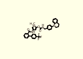 Cn1cc(NC(=O)c2ccccc2-c2ccc(C(F)(F)F)cc2)cc1OC(=O)NCc1ccc(N2CCCc3ccccc32)cc1